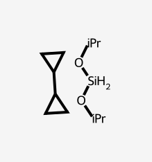 C1CC1C1CC1.CC(C)O[SiH2]OC(C)C